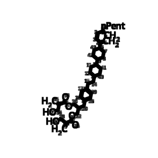 C=C(/C=C\C(=C)C1CCC(C2CCC(CCc3ccc(CC(COC(=O)C(=C)CO)COC(=O)C(=C)CO)cc3)CC2)CC1)CCCCC